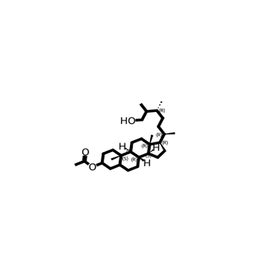 CC(=O)OC1CC[C@@]2(C)C(CC[C@H]3[C@@H]4CC[C@H]([C@H](C)CC[C@@H](C)C(C)CO)[C@@]4(C)CC[C@@H]32)C1